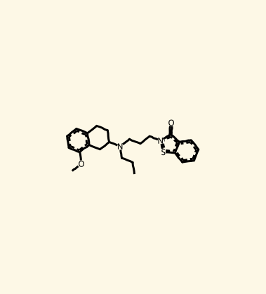 CCCN(CCCn1sc2ccccc2c1=O)C1CCc2cccc(OC)c2C1